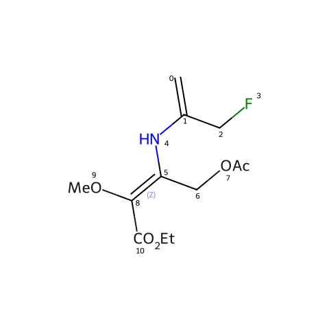 C=C(CF)N/C(COC(C)=O)=C(\OC)C(=O)OCC